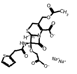 CC(=O)OCC1=C(C(=O)[O-])N2C(=O)[C@](NC(=O)Cc3cccs3)(OCC(=O)[O-])[C@H]2SC1.[Na+].[Na+]